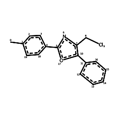 Cc1ccc(-c2nc(CCl)c(-c3ccccc3)o2)cc1